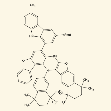 CCCCCc1cc(-c2cc3sc4ccccc4c3c3c2Bc2oc4cc5c(cc4c2N3c2ccc3c(c2)C(C)(C)CCC3(C)C)C(C)(C)CCC5(C)C)c2[nH]c3ccc(C)cc3c2c1